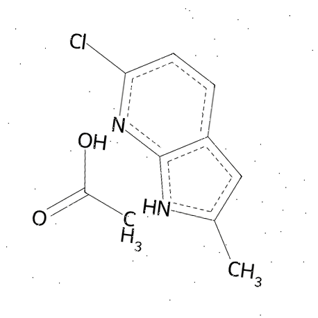 CC(=O)O.Cc1cc2ccc(Cl)nc2[nH]1